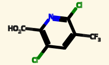 O=C(O)c1nc(Cl)c(C(F)(F)F)cc1Cl